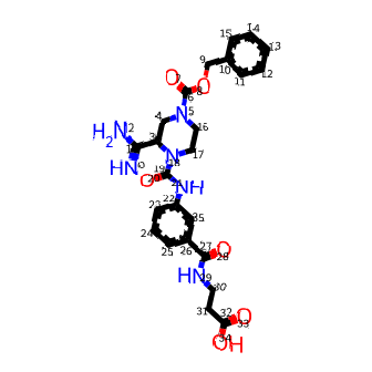 N=C(N)C1CN(C(=O)OCc2ccccc2)CCN1C(=O)Nc1cccc(C(=O)NCCC(=O)O)c1